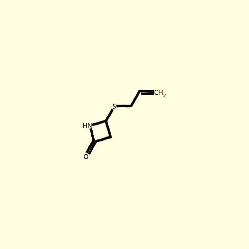 C=CCSC1CC(=O)N1